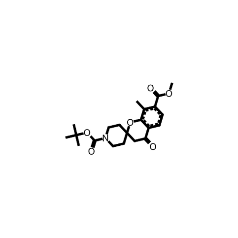 COC(=O)c1ccc2c(c1C)OC1(CCN(C(=O)OC(C)(C)C)CC1)CC2=O